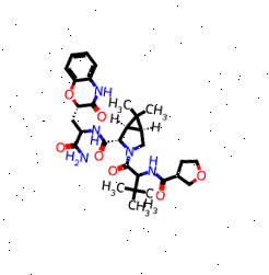 CC(C)(C)C(NC(=O)C1CCOC1)C(=O)N1C[C@H]2[C@@H]([C@H]1C(=O)NC(C[C@@H]1Oc3ccccc3NC1=O)C(N)=O)C2(C)C